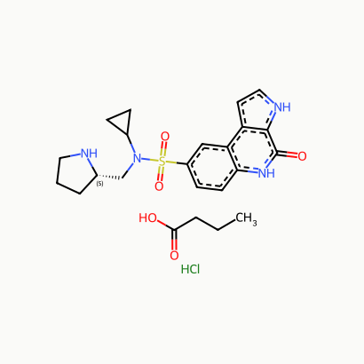 CCCC(=O)O.Cl.O=c1[nH]c2ccc(S(=O)(=O)N(C[C@@H]3CCCN3)C3CC3)cc2c2cc[nH]c12